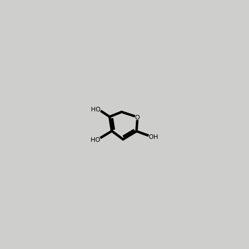 OC1=CC(O)=C(O)CO1